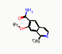 CC(C)Oc1cc2c(N=O)nccc2cc1C(N)=O